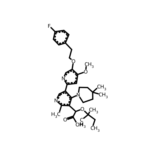 CCC(C)(C)OC(C(=O)O)c1c(C)ncc(-c2cc(OC)c(OCCc3ccc(F)cc3)cn2)c1N1CCC(C)(C)CC1